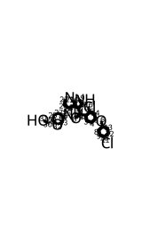 O=C(c1ccc(Oc2ccc(Cl)cc2)cc1Cl)c1c[nH]c2nccc(N[C@@H]3CC[C@@H](CO)OC3)c12